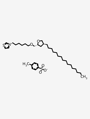 CCCCCCCCCCCCCCCC[C@@H]1CO[C@@H](COCCCCCC[n+]2ccsc2)C1.Cc1ccc(S(=O)(=O)[O-])cc1